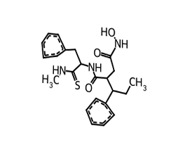 CCC(c1ccccc1)C(CC(=O)NO)C(=O)NC(Cc1ccccc1)C(=S)NC